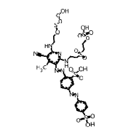 Cc1c(C#N)c(NCCOSOOO)nc(NCCS(=O)(=O)CCOS(=O)(=O)O)c1/N=N/c1ccc(/N=N/c2ccc(S(=O)(=O)O)cc2)cc1S(=O)(=O)O